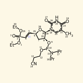 CCOP(=O)(/C=C/[C@@H]1C[C@H](OP(OCCC#N)N(C(C)C)C(C)C)[C@H](n2cc(C)c(=O)[nH]c2=O)O1)OCC